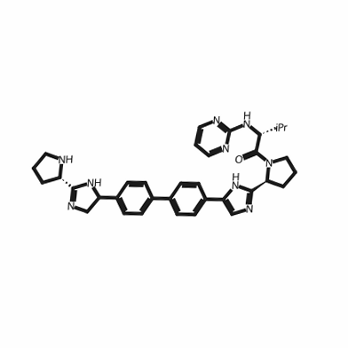 CC(C)[C@@H](Nc1ncccn1)C(=O)N1CCC[C@H]1c1ncc(-c2ccc(-c3ccc(C4CN=C([C@@H]5CCCN5)N4)cc3)cc2)[nH]1